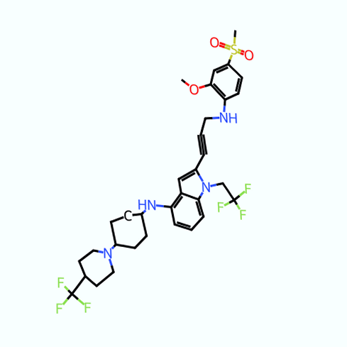 COc1cc(S(C)(=O)=O)ccc1NCC#Cc1cc2c(NC3CCC(N4CCC(C(F)(F)F)CC4)CC3)cccc2n1CC(F)(F)F